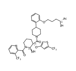 CCC[C@H]1N(C(=O)c2ncccc2C(F)(F)F)CCC[C@@]1(Oc1csc(C(F)(F)F)c1)C(=O)N1CCC(c2ccccc2OCCC[C@H](C(C)=O)C(C)C)CC1